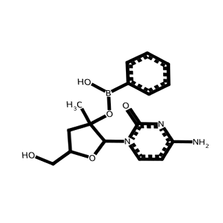 CC1(OB(O)c2ccccc2)CC(CO)OC1n1ccc(N)nc1=O